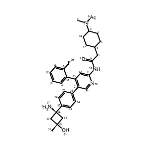 CC(=O)N(C)C1CCC(CC(=O)Nc2cc(-c3ccccc3F)c(-c3ccc([C@]4(N)C[C@](C)(O)C4)cc3)cn2)CC1